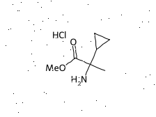 COC(=O)C(C)(N)C1CC1.Cl